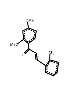 COc1ccc(C(=O)/C=C/c2ccccc2C(F)(F)F)c(OC)c1